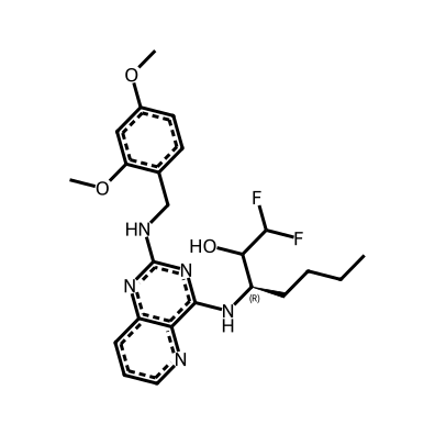 CCCC[C@@H](Nc1nc(NCc2ccc(OC)cc2OC)nc2cccnc12)C(O)C(F)F